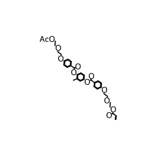 C=CC(=O)OCCOCCOc1ccc(C(=O)Oc2ccc(OC(=O)c3ccc(OCCOCCOC(C)=O)cc3)c(C)c2)cc1